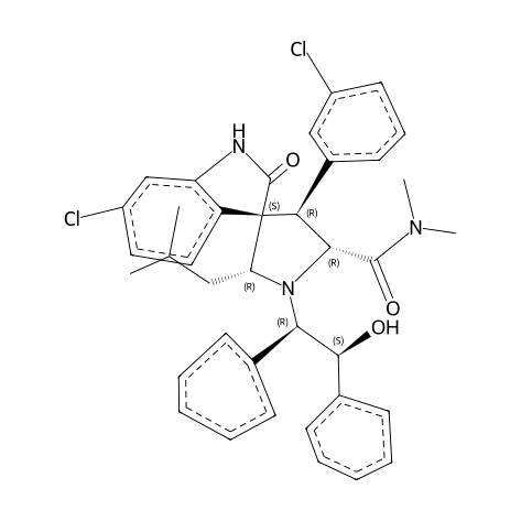 CC(C)C[C@H]1N([C@H](c2ccccc2)[C@@H](O)c2ccccc2)[C@@H](C(=O)N(C)C)[C@H](c2cccc(Cl)c2)[C@@]12C(=O)Nc1cc(Cl)ccc12